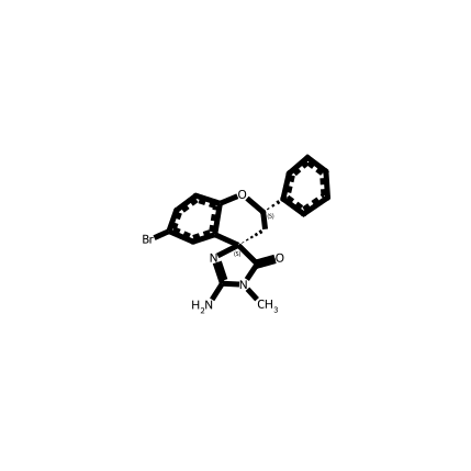 CN1C(=O)[C@@]2(C[C@@H](c3ccccc3)Oc3ccc(Br)cc32)N=C1N